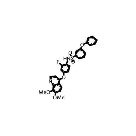 COc1ccc2c(Oc3ccc(NS(=O)(=O)c4cccc(Oc5ccccc5)c4)c(F)c3)ccnc2c1OC